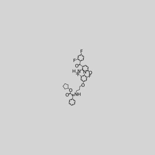 Nc1c(C(=O)c2ccc(F)cc2F)ccc(=O)n1-c1c(F)cc(OCCCN[C@@H](C(=O)OC2CCCC2)c2ccccc2)cc1F